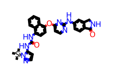 C[Si](C)(C)n1nccc1NC(=O)Nc1ccc(Oc2ccnc(Nc3ccc4c(c3)CNC4=O)n2)c2ccccc12